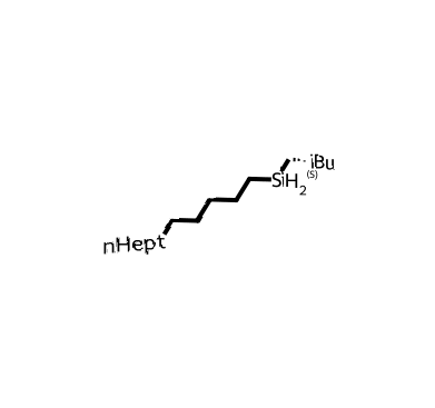 CCCCCCCCCCCC[SiH2]C[C@@H](C)CC